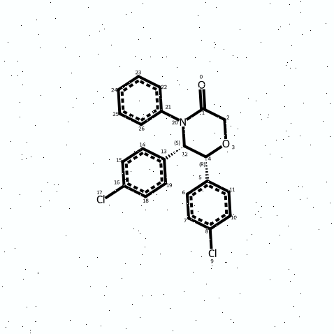 O=C1CO[C@H](c2ccc(Cl)cc2)[C@H](c2ccc(Cl)cc2)N1c1ccccc1